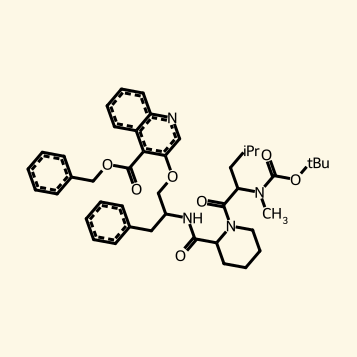 CC(C)CC(C(=O)N1CCCCC1C(=O)NC(COc1cnc2ccccc2c1C(=O)OCc1ccccc1)Cc1ccccc1)N(C)C(=O)OC(C)(C)C